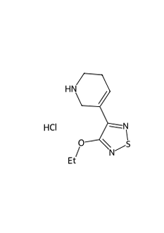 CCOc1nsnc1C1=CCCNC1.Cl